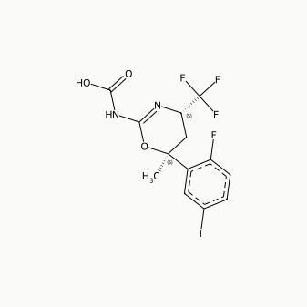 C[C@@]1(c2cc(I)ccc2F)C[C@@H](C(F)(F)F)N=C(NC(=O)O)O1